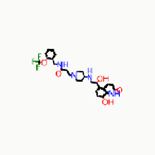 O=C(CCN1CCC(NCC(O)c2ccc(O)c3[nH]c(=O)ccc23)CC1)NCc1ccccc1OC(F)(F)F